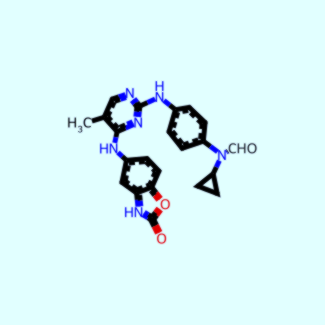 Cc1cnc(Nc2ccc(N(C=O)C3CC3)cc2)nc1Nc1ccc2oc(=O)[nH]c2c1